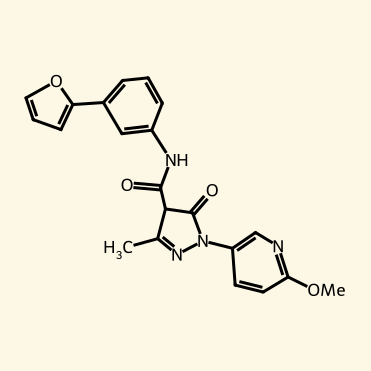 COc1ccc(N2N=C(C)C(C(=O)Nc3cccc(-c4ccco4)c3)C2=O)cn1